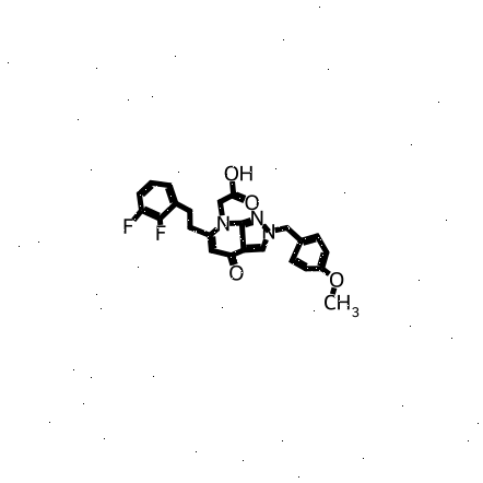 COc1ccc(Cn2cc3c(=O)cc(CCc4cccc(F)c4F)n(CC(=O)O)c3n2)cc1